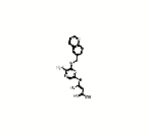 CC(=N)/C=C(\O)Nc1cnc(N)c(NCc2ccc3ncccc3c2)n1